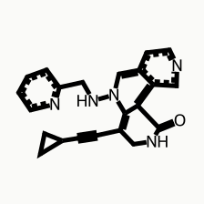 O=C1NCC(C#CC2CC2)=C2C1=c1cnccc1=CN2NCc1ccccn1